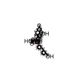 C[C@]12C=CC(=O)C=C1CC[C@@H]1[C@@H]2[C@@H](O)C[C@@]2(C)[C@H]1C[C@H]1O[C@@H](c3cccc(Cc4cccc(CO)c4)c3)O[C@]12C(=O)COP(=O)(O)O